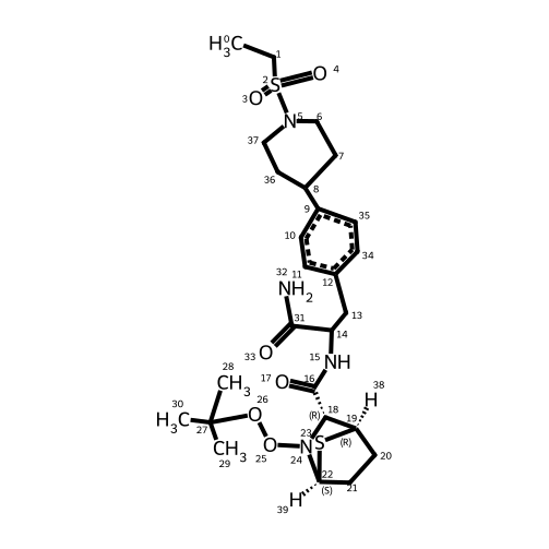 CCS(=O)(=O)N1CCC(c2ccc(CC(NC(=O)[C@@H]3[C@H]4CC[C@H](S4)N3OOC(C)(C)C)C(N)=O)cc2)CC1